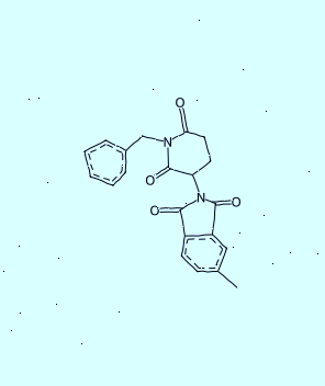 Cc1ccc2c(c1)C(=O)N(C1CCC(=O)N(Cc3ccccc3)C1=O)C2=O